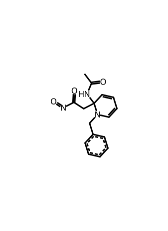 CC(=O)NC1(CC(=O)N=O)C=CC=CN1Cc1ccccc1